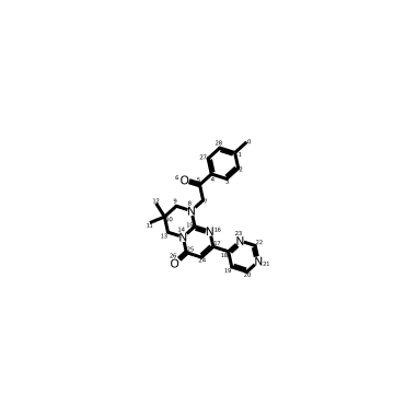 Cc1ccc(C(=O)CN2CC(C)(C)Cn3c2nc(-c2ccncn2)cc3=O)cc1